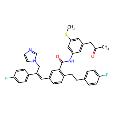 CSc1cc(CC(C)=O)cc(NC(=O)c2cc(C=C(Cn3ccnc3)c3ccc(F)cc3)ccc2CCc2ccc(F)cc2)c1